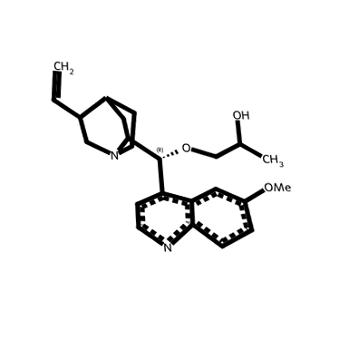 C=CC1CN2CCC1CC2[C@H](OCC(C)O)c1ccnc2ccc(OC)cc12